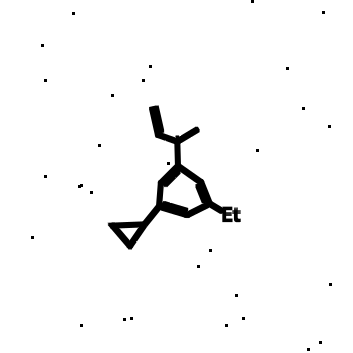 C=C[C](C)c1cc(CC)cc(C2CC2)c1